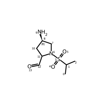 CC(C)S(=O)(=O)N1C[C@H](N)CC1[C]=O